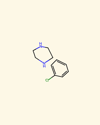 C1CNCCN1.Clc1ccccc1